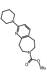 CC(C)(C)OC(=O)N1CCc2ccc(N3CCCCC3)nc2CC1